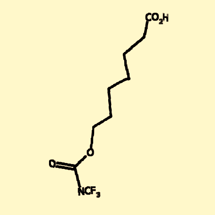 O=C(O)CCCCCCOC(=O)NC(F)(F)F